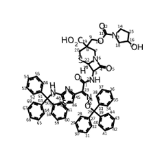 O=C(NC1C(=O)N2CC(COC(=O)N3CCC(O)C3)(C(=O)O)CS[C@H]12)C(=NOC(c1ccccc1)(c1ccccc1)c1ccccc1)c1csc(NC(c2ccccc2)(c2ccccc2)c2ccccc2)n1